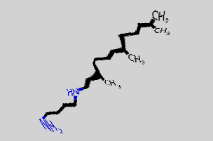 CC(C)=CCC/C(C)=C/CC/C(C)=C/CNCCCCN